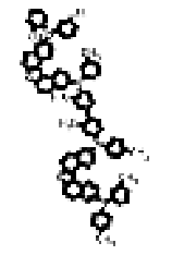 Cc1ccc(N(c2cccc(C)c2)c2ccc3c(ccc4sc5ccc6cc(N(c7ccc(C)cc7)c7ccc(-c8ccc(N(c9cccc(C)c9)c9ccc%10c(ccc%11sc%12ccc%13cc(N(c%14cccc(C)c%14)c%14ccccc%14C)ccc%13c%12c%11%10)c9)c(C)c8)c(C)c7)ccc6c5c43)c2)cc1